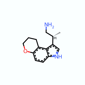 C[C@@H](CN)c1c[nH]c2ccc3c(c12)CCCO3